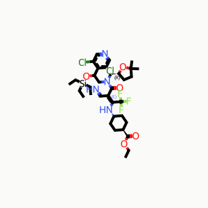 CCOC(=O)[C@H]1CC[C@H](N/C(=C(\C=N)C(=O)N(CC(O[Si](CC)(CC)CC)c2c(Cl)cncc2Cl)C[C@H]2CCC(C)(C)O2)C(F)(F)F)CC1